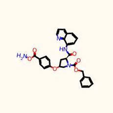 NOC(=O)c1ccc(O[C@H]2C[C@@H](C(=O)Nc3cccc4cccnc34)N(C(=O)OCc3ccccc3)C2)cc1